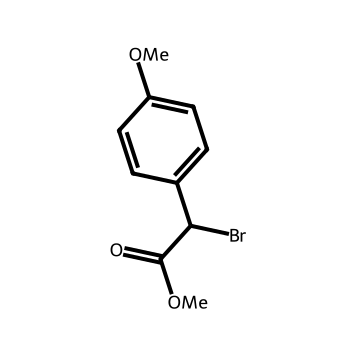 COC(=O)C(Br)c1ccc(OC)cc1